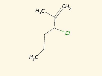 C=C(C)C(Cl)CCC